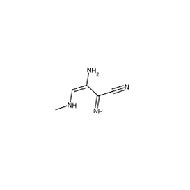 CN/C=C(/N)C(=N)C#N